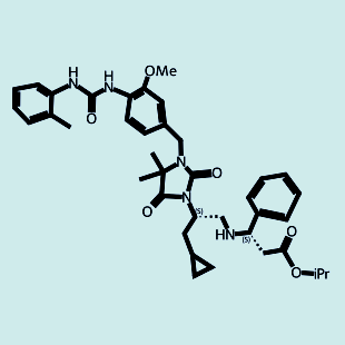 COc1cc(CN2C(=O)N([C@H](CN[C@@H](CC(=O)OC(C)C)c3ccccc3)CC3CC3)C(=O)C2(C)C)ccc1NC(=O)Nc1ccccc1C